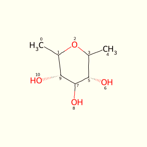 CC1OC(C)[C@H](O)C(O)[C@@H]1O